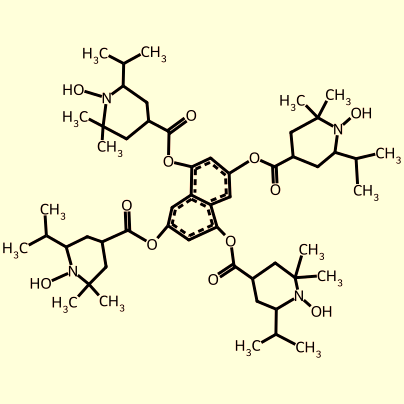 CC(C)C1CC(C(=O)Oc2cc(OC(=O)C3CC(C(C)C)N(O)C(C)(C)C3)c3cc(OC(=O)C4CC(C(C)C)N(O)C(C)(C)C4)cc(OC(=O)C4CC(C(C)C)N(O)C(C)(C)C4)c3c2)CC(C)(C)N1O